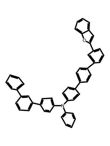 c1ccc(-c2cccc(-c3ccc(N(c4ccccc4)c4ccc(-c5ccc(-c6cccc(-c7cc8ccccc8o7)c6)cc5)cc4)cc3)c2)cc1